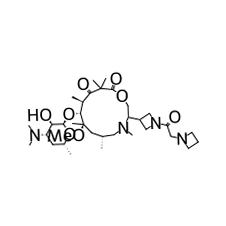 CO[C@]1(C)C[C@@H](C)CN(C)C(C2CN(C(=O)CN3CCC3)C2)COC(=O)C(C)(C)C(=O)[C@H](C)[C@H]1O[C@H]1O[C@H](C)C[C@H](N(C)C)[C@H]1O